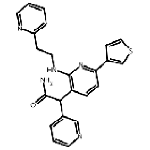 NC(=O)C(c1cccnc1)c1ccc(-c2ccsc2)nc1NCCc1ccccn1